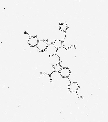 C=C[C@@H]1[C@@H](Cn2cncn2)C[C@@H](C(=O)Nc2nc(Br)ccc2C)N1C(=O)Cn1nc(C(C)=O)c2cc(-c3cnc(C)nc3)ccc21